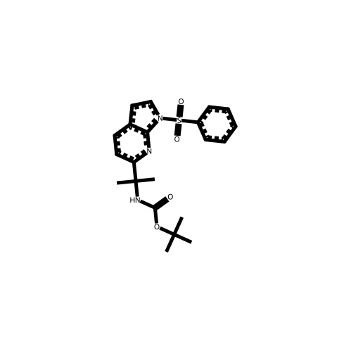 CC(C)(C)OC(=O)NC(C)(C)c1ccc2ccn(S(=O)(=O)c3ccccc3)c2n1